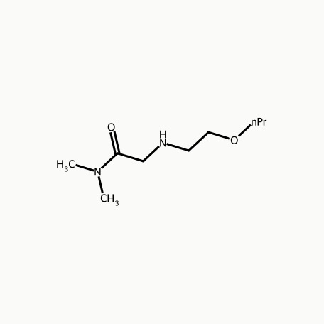 CCCOCCNCC(=O)N(C)C